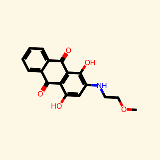 COCCNc1cc(O)c2c(c1O)C(=O)c1ccccc1C2=O